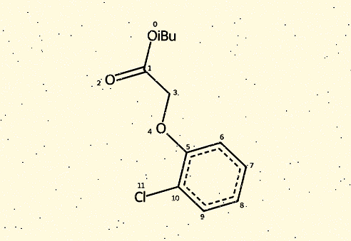 CC(C)COC(=O)COc1ccccc1Cl